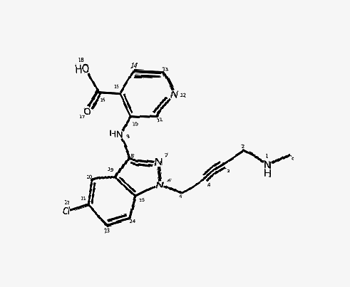 CNCC#CCn1nc(Nc2cnccc2C(=O)O)c2cc(Cl)ccc21